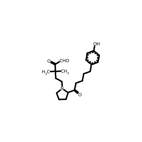 CC(C)(CCN1CCCC1C(=O)CCCCc1ccc(O)cc1)C(=O)C=O